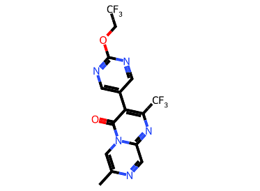 Cc1cn2c(=O)c(-c3cnc(OCC(F)(F)F)nc3)c(C(F)(F)F)nc2cn1